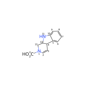 O=C(O)N1C=CC2c3ccccc3NC2C1